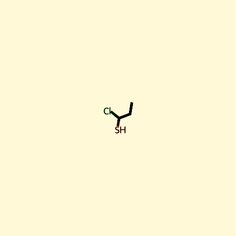 CCC(S)Cl